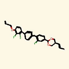 C/C=C/C1COC(c2ccc(-c3ccc(-c4ccc(OCCC)c(F)c4F)cc3)c(F)c2)OC1